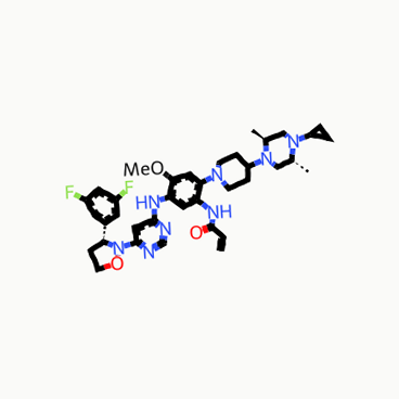 C=CC(=O)Nc1cc(Nc2cc(N3OCC[C@@H]3c3cc(F)cc(F)c3)ncn2)c(OC)cc1N1CCC(N2C[C@@H](C)N(C3CC3)C[C@@H]2C)CC1